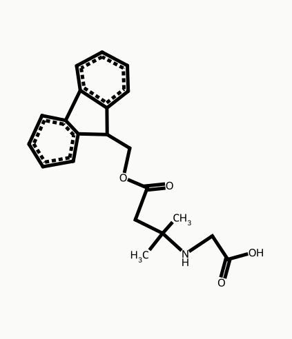 CC(C)(CC(=O)OCC1c2ccccc2-c2ccccc21)NCC(=O)O